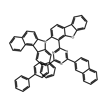 c1ccc(-c2ccc(-c3nc(-c4ccc5ccccc5c4)nc(-c4c(-n5c6cc7ccccc7cc6c6c7ccccc7ccc65)ccc5c4oc4ccccc45)n3)cc2)cc1